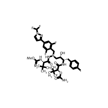 COC(=O)N[C@H](C(=O)NN(Cc1c(F)cc(-c2ccn(C(F)F)n2)cc1F)C[C@H](O)[C@H](Cc1ccc(I)cc1)NC(=O)[C@@H](OC(N)=O)C(C)(C)C(F)(F)F)C(C)(C)C(F)(F)F